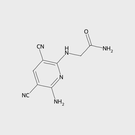 N#Cc1cc(C#N)c(NCC(N)=O)nc1N